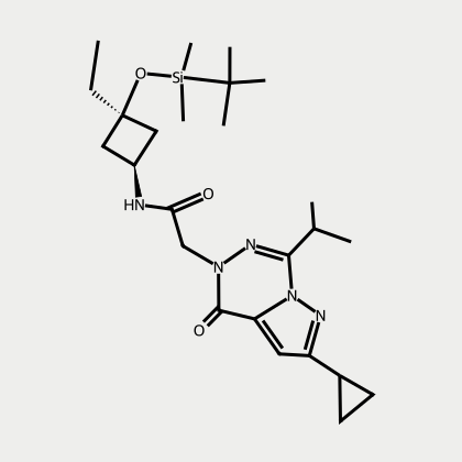 CC[C@]1(O[Si](C)(C)C(C)(C)C)C[C@@H](NC(=O)Cn2nc(C(C)C)n3nc(C4CC4)cc3c2=O)C1